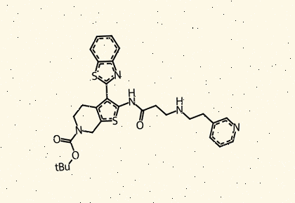 CC(C)(C)OC(=O)N1CCc2c(sc(NC(=O)CCNCCc3cccnc3)c2-c2nc3ccccc3s2)C1